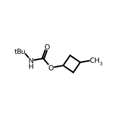 CC1CC(OC(=O)NC(C)(C)C)C1